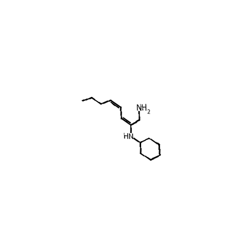 CCC/C=C\C=C(/CN)NC1CCCCC1